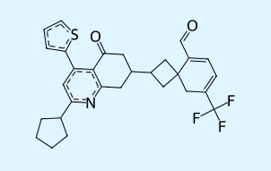 O=CC1=CC=C(C(F)(F)F)CC12CC(C1CC(=O)c3c(-c4cccs4)cc(C4CCCC4)nc3C1)C2